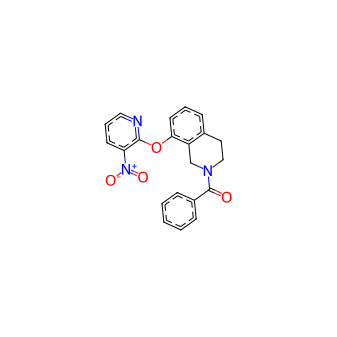 O=C(c1ccccc1)N1CCc2cccc(Oc3ncccc3[N+](=O)[O-])c2C1